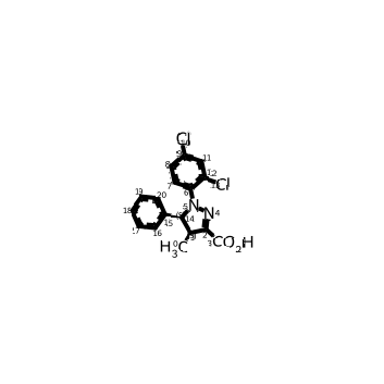 C[C@@H]1C(C(=O)O)=NN(c2ccc(Cl)cc2Cl)[C@@H]1c1ccccc1